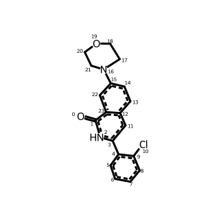 O=c1[nH]c(-c2ccccc2Cl)cc2ccc(N3CCOCC3)cc12